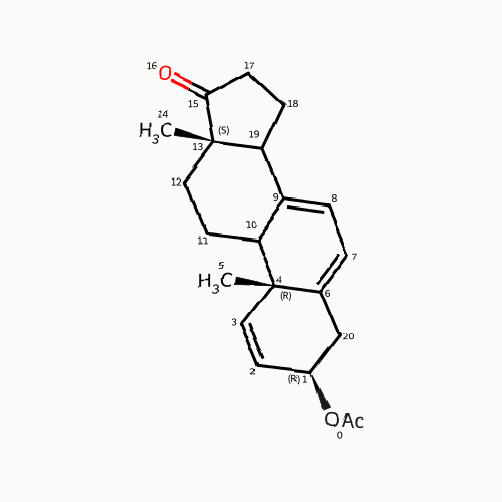 CC(=O)O[C@H]1C=C[C@@]2(C)C(=CC=C3C2CC[C@]2(C)C(=O)CCC32)C1